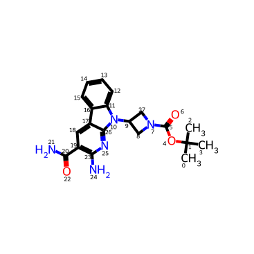 CC(C)(C)OC(=O)N1CC(n2c3ccccc3c3cc(C(N)=O)c(N)nc32)C1